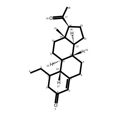 CCC1CC(=O)C=C2CC[C@@H]3[C@H](CC[C@]4(C)[C@@H](C(C)=O)CC[C@@H]34)[C@H]21